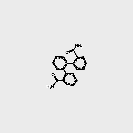 NC(=O)c1ccccc1-c1ccccc1-c1ccccc1C(N)=O